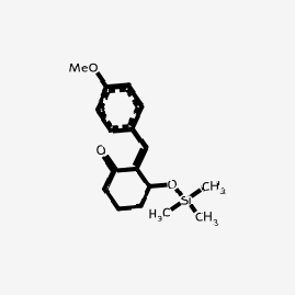 COc1ccc(C=C2C(=O)CCCC2O[Si](C)(C)C)cc1